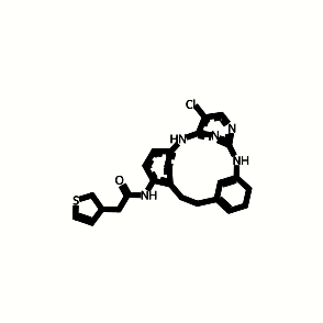 O=C(CC1C=CSC1)Nc1ccc2cc1CCC1=CCCC(=C1)Nc1ncc(Cl)c(n1)N2